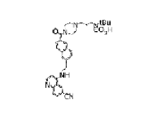 CC(C)(C)N(CCCN1CCN(C(=O)c2ccc3cc(CCNc4ccnc5ccc(C#N)cc45)ccc3c2)CC1)C(=O)O